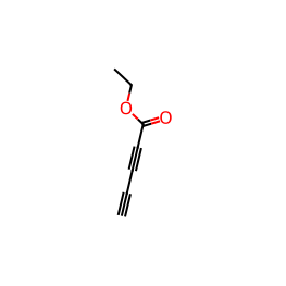 C#CC#CC(=O)OCC